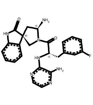 Nc1nccnc1N[C@@H](Cc1cccc(F)c1)C(=O)N1C[C@]2(C[C@H]1N)C(=O)Nc1ccccc12